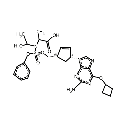 CC(C)N(C(C)C(=O)O)[P@@](=O)(OC[C@@H]1C=C[C@H](n2cnc3c(OC4CCC4)nc(N)nc32)C1)Oc1ccccc1